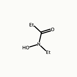 [CH2]CC(=O)N(O)CC